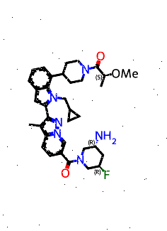 CO[C@@H](C)C(=O)N1CCC(c2cccc3cc(-c4nn5cc(C(=O)N6C[C@H](N)C[C@@H](F)C6)ccc5c4C)n(CC4CC4)c23)CC1